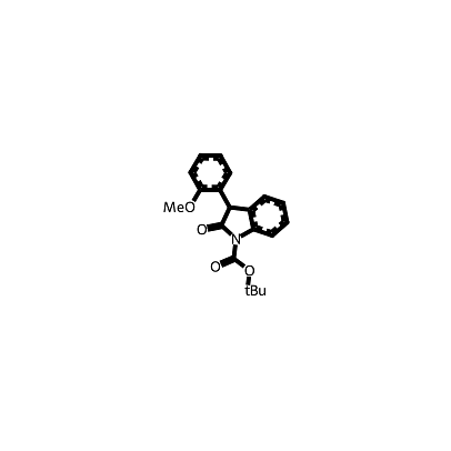 COc1ccccc1C1C(=O)N(C(=O)OC(C)(C)C)c2ccccc21